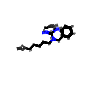 CC(=O)O.N=C(N)N(CCCCCC(=O)O)Cc1ccccc1